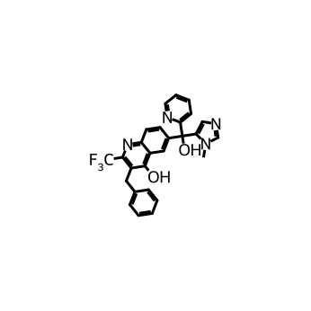 Cn1cncc1C(O)(c1ccc2nc(C(F)(F)F)c(Cc3ccccc3)c(O)c2c1)c1ccccn1